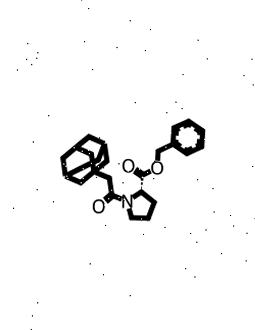 O=C(OCc1ccccc1)[C@@H]1CCCN1C(=O)CC12CC3CC(CC(C3)C1)C2